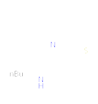 CCCCNc1csc(C)n1